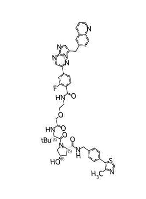 Cc1ncsc1-c1ccc(CNC(=O)[C@@H]2C[C@@H](O)CN2C(=O)[C@@H](NC(=O)COCCNC(=O)c2ccc(-c3cnc4ncc(Cc5ccc6ncccc6c5)n4n3)cc2F)C(C)(C)C)cc1